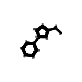 COc1cnn(-c2c[c]ccc2)c1